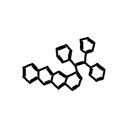 c1ccc(C(=C(c2ccccc2)c2cccc3cc4cc5ccccc5cc4cc23)c2ccccc2)cc1